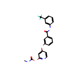 CNC(=O)Oc1cc(Oc2cccc(C(=O)Nc3cccc(C(F)(F)F)c3)c2)ccn1